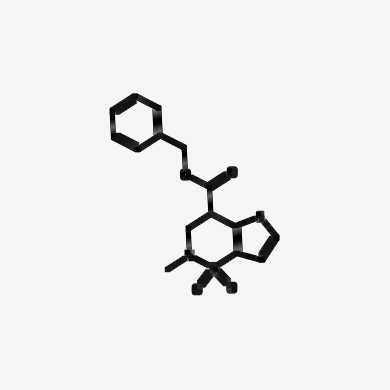 CN1CC(C(=O)OCc2ccccc2)c2sccc2S1(=O)=O